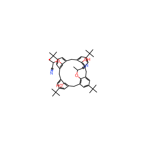 CC(C#N)Oc1c2cc(C(C)(C)C)cc1Cc1cc(C(C)(C)C)cc(c1O)Cc1cc(C(C)(C)C)cc(c1OC(C)C#N)Cc1cc(C(C)(C)C)cc(c1O)C2